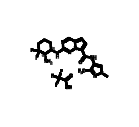 Cn1cc(NC(=O)c2ccc3cnc(N[C@@H]4CCCC(F)(F)[C@@H]4N)nn23)c(C(F)(F)F)n1.O=C(O)C(F)(F)F